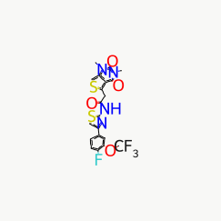 Cn1c(=O)c2c(CC(=O)Nc3nc(-c4ccc(F)c(OC(F)(F)F)c4)cs3)scc2n(C)c1=O